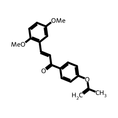 C=C(C)Oc1ccc(C(=O)/C=C/c2cc(OC)ccc2OC)cc1